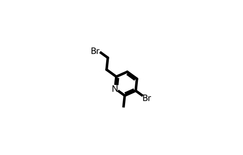 Cc1nc(CCBr)ccc1Br